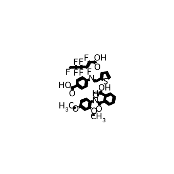 COc1ccc(NC(=O)c2ccccc2C(=O)O)c(OC)c1.O=C(O)/C(F)=C(\F)C(F)(F)C(F)(F)CF.O=C(O)c1ccc(/N=C/c2cccs2)cc1